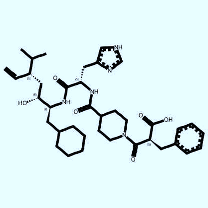 C=C[C@@H](C[C@@H](O)[C@H](CC1CCCCC1)NC(=O)[C@H](Cc1c[nH]cn1)NC(=O)C1CCN(C(=O)[C@H](Cc2ccccc2)C(=O)O)CC1)C(C)C